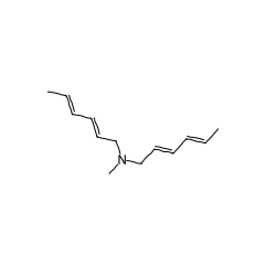 CC=CC=CCN(C)CC=CC=CC